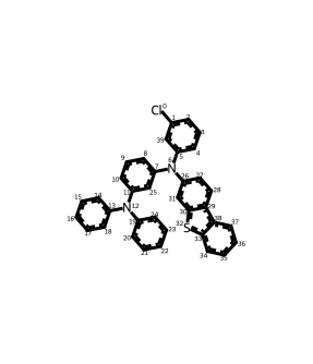 Clc1cccc(N(c2cccc(N(c3ccccc3)c3ccccc3)c2)c2ccc3c(c2)sc2ccccc23)c1